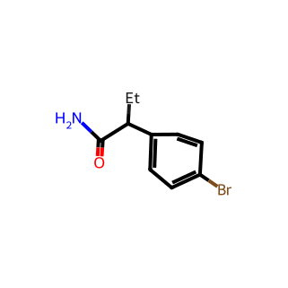 CCC(C(N)=O)c1ccc(Br)cc1